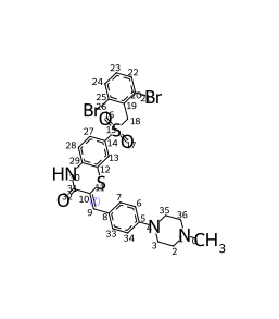 CN1CCN(c2ccc(/C=C3\Sc4cc(S(=O)(=O)Cc5c(Br)cccc5Br)ccc4NC3=O)cc2)CC1